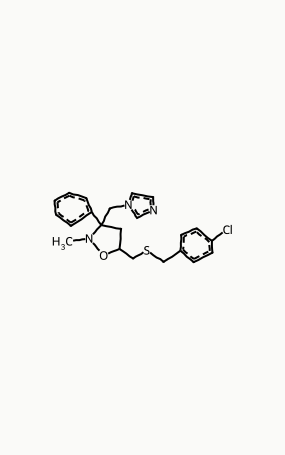 CN1OC(CSCc2ccc(Cl)cc2)CC1(Cn1ccnc1)c1ccccc1